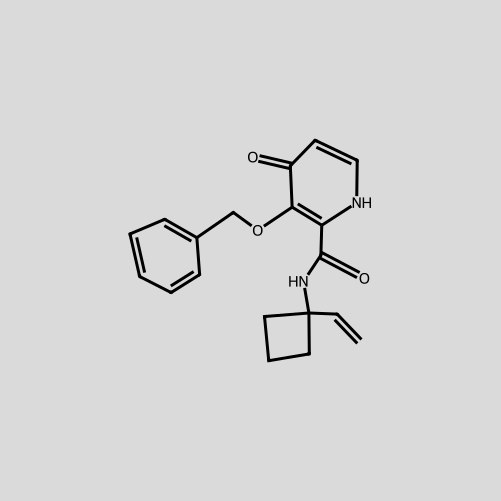 C=CC1(NC(=O)c2[nH]ccc(=O)c2OCc2ccccc2)CCC1